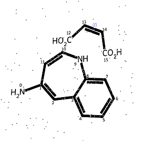 NC1=Cc2ccccc2NC=C1.O=C(O)/C=C\C(=O)O